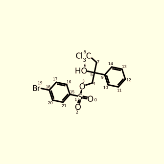 O=S(=O)(OCC(O)(CC(Cl)(Cl)Cl)c1ccccc1)c1ccc(Br)cc1